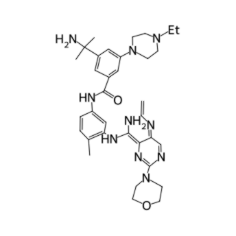 C=C/N=C1/C=NC(N2CCOCC2)=N/C1=C(/N)Nc1cc(NC(=O)c2cc(N3CCN(CC)CC3)cc(C(C)(C)N)c2)ccc1C